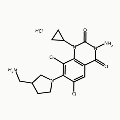 Cl.NCC1CCN(c2c(Cl)cc3c(=O)n(N)c(=O)n(C4CC4)c3c2Cl)C1